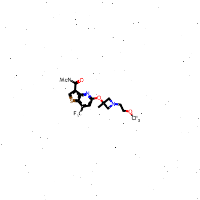 CNC(=O)c1csc2c(C(F)(F)F)cc(OC3(C)CN(CCOC(F)(F)F)C3)nc12